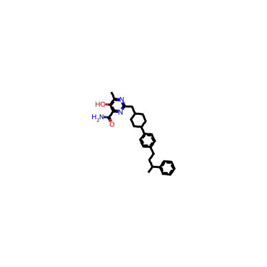 Cc1nc(CC2CCC(c3ccc(CCC(C)c4ccccc4)cc3)CC2)nc(C(N)=O)c1O